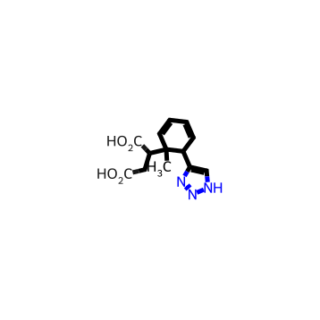 CC1(C(CC(=O)O)C(=O)O)C=CC=CC1c1c[nH]nn1